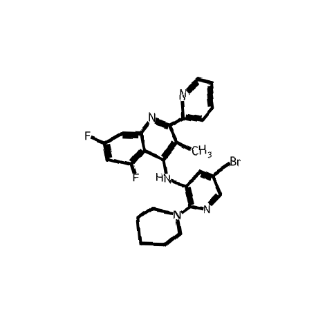 Cc1c(-c2ccccn2)nc2cc(F)cc(F)c2c1Nc1cc(Br)cnc1N1CCCCC1